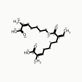 CC=C(CCCCC=C(C)C(=O)O)C(=O)OCCCCC=C(C)C(=O)O